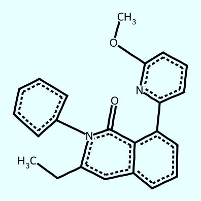 CCc1cc2cccc(-c3cccc(OC)n3)c2c(=O)n1-c1ccccc1